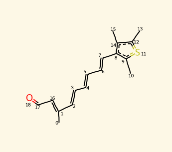 CC(C=CC=CC=Cc1c(C)sc(C)c1C)=CC=O